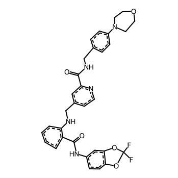 O=C(NCc1ccc(N2CCOCC2)cc1)c1cc(CNc2ccccc2C(=O)Nc2ccc3c(c2)OC(F)(F)O3)ccn1